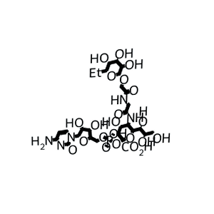 CCC1O[C@H](OCC(=O)NCC(=O)NC2C(O)CC(OP(=O)(O)OCC3OC(n4ccc(N)nc4=O)C(O)C3O)(C(=O)O)OC2[C@H](O)[C@H](O)CO)C(O)[C@@H](O)[C@@H]1O